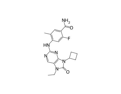 CCn1c(=O)n(C2CCC2)c2nc(Nc3cc(F)c(C(N)=O)cc3C)ncc21